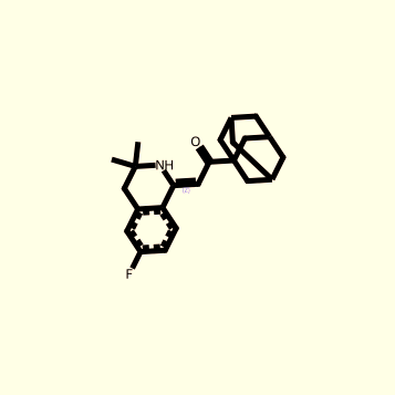 CC1(C)Cc2cc(F)ccc2/C(=C/C(=O)C23CC4CC(CC(C4)C2)C3)N1